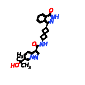 CC(C)(O)c1ccc2c(C(=O)N[C@H]3CC4(C3)C[C@H](c3n[nH]c(=O)c5ccccc53)C4)cnn2c1